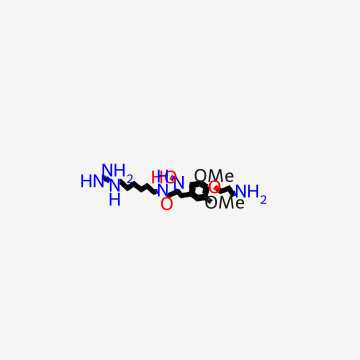 COc1cc(CC(=NO)C(=O)NCCCCCCNC(=N)N)cc(OC)c1OCCCN